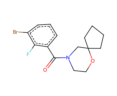 O=C(c1cccc(Br)c1F)N1CCOC2(CCCC2)C1